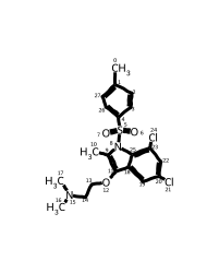 Cc1ccc(S(=O)(=O)n2c(C)c(OCCN(C)C)c3cc(Cl)cc(Cl)c32)cc1